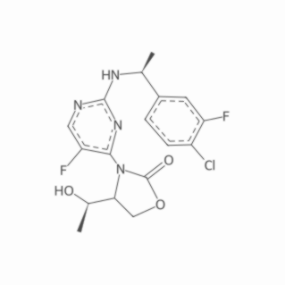 C[C@H](Nc1ncc(F)c(N2C(=O)OCC2[C@@H](C)O)n1)c1ccc(Cl)c(F)c1